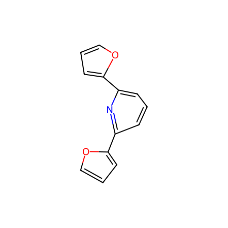 c1cc(-c2ccco2)nc(-c2ccco2)c1